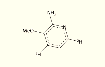 [2H]c1cc([2H])c(OC)c(N)n1